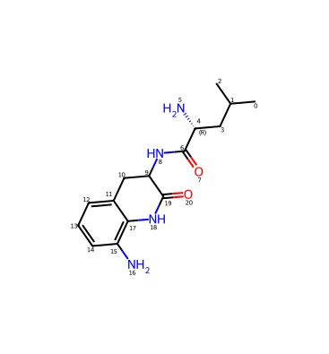 CC(C)C[C@@H](N)C(=O)NC1Cc2cccc(N)c2NC1=O